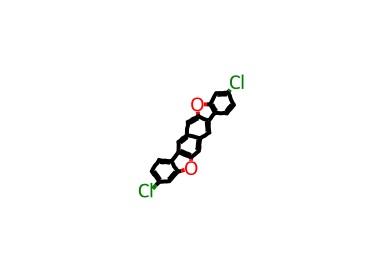 Clc1ccc2c(c1)oc1cc3cc4c(cc3cc12)oc1cc(Cl)ccc14